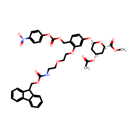 COC(=O)[C@@H]1C[C@H](OC(C)=O)C[C@H](Oc2ccc(COC(=O)Oc3ccc([N+](=O)[O-])cc3)c(OCCOCCNC(=O)OCC3c4ccccc4-c4ccccc43)c2)O1